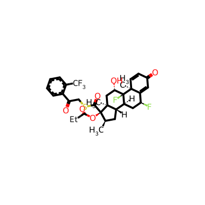 CCC(=O)O[C@]1(C(=O)SCC(=O)c2ccccc2C(F)(F)F)[C@H](C)C[C@H]2[C@@H]3C[C@H](F)C4=CC(=O)C=C[C@]4(C)[C@@]3(F)[C@@H](O)C[C@@]21C